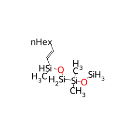 CCCCCCC=C[SiH](C)O[SiH2][Si](C)(C)O[SiH3]